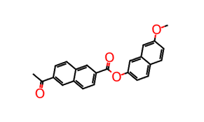 COc1ccc2ccc(OC(=O)c3ccc4cc(C(C)=O)ccc4c3)cc2c1